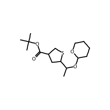 CC(OC1CCCCO1)C1CC(C(=O)OC(C)(C)C)CS1